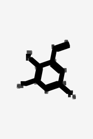 C=Cc1cc(F)cc(F)c1F